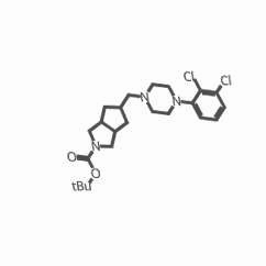 CC(C)(C)OC(=O)N1CC2CC(CN3CCN(c4cccc(Cl)c4Cl)CC3)CC2C1